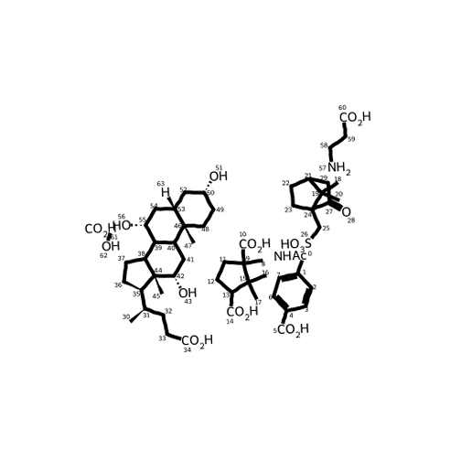 CC(=O)Nc1ccc(C(=O)O)cc1.CC1(C(=O)O)CCC(C(=O)O)C1(C)C.CC1(C)C2CCC1(CS(=O)(=O)O)C(=O)C2.C[C@H](CCC(=O)O)[C@H]1CCC2C3C(C[C@H](O)[C@@]21C)[C@@]1(C)CC[C@@H](O)C[C@H]1C[C@H]3O.NCCC(=O)O.O=C(O)O